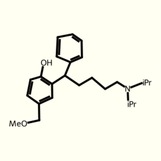 COCc1ccc(O)c(C(CCCCN(C(C)C)C(C)C)c2ccccc2)c1